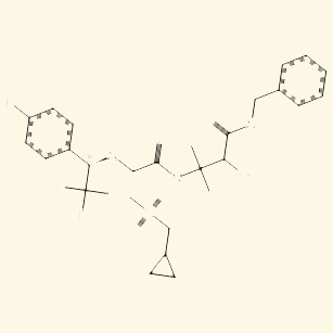 CC(C)(NC(=O)[C@H](CS(=O)(=O)CC1CC1)N[C@H](c1ccc(F)cc1)C(F)(F)F)C(O)C(=O)NCc1ccccc1